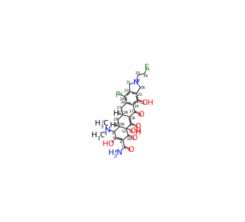 CN(C)[C@@H]1C(O)=C(C(N)=O)C(=O)[C@@]2(O)C(O)=C3C(=O)c4c(O)c5c(c(F)c4C[C@H]3C[C@@H]12)CN(CCF)C5